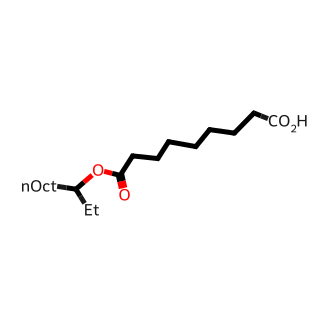 CCCCCCCCC(CC)OC(=O)CCCCCCCC(=O)O